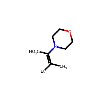 CCC(C)=C(C(=O)O)N1CCOCC1